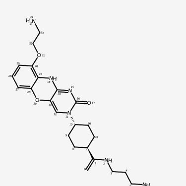 C=C(NCCCN)[C@H]1CC[C@H](n2cc3c(nc2=O)Nc2c(OCCN)cccc2O3)CC1